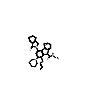 CC=CCc1c(N2CCCCC2)cc(N2Cc3ccccc3C2=O)c2c1C(C(=O)NCCC)c1ccccc1-2